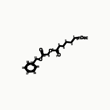 CCCCCCCCCCCCCCCC(=O)OCC(=O)OCc1ccccc1